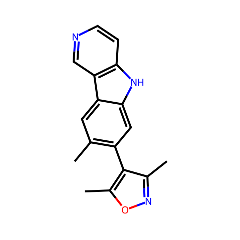 Cc1cc2c(cc1-c1c(C)noc1C)[nH]c1ccncc12